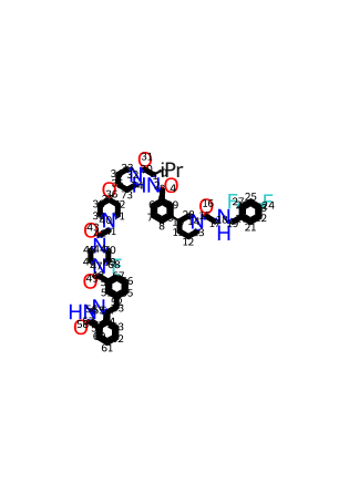 CC(C)[C@@H](NC(=O)c1cccc([C@@H]2CCCN(C(=O)CNCc3ccc(F)cc3F)C2)c1)C(=O)N1CCC(OC2CCN(CC(=O)N3CCN(C(=O)c4cc(Cc5n[nH]c(=O)c6ccccc56)ccc4F)CC3)CC2)CC1